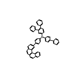 c1ccc(-c2ccc(N(c3ccc(-c4ccc5ccc6ccc7ccccc7c6c5c4)cc3)c3ccc(-c4ccccc4)c(-c4ccccc4)c3)cc2)cc1